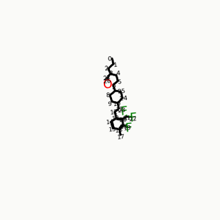 CCCC1CCC(C2CCC(CCc3ccc(C)c(F)c3C(F)F)CC2)OC1